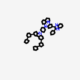 c1ccc(-c2cccc(-c3ccc4c(c3)c3cc(-c5cccc(-c6ccccc6)c5)ccc3n4-c3ccc(N(c4ccc(-c5nc6ccccc6nc5-c5ccccc5)cc4)c4cccc5cccnc45)cc3)c2)cc1